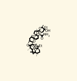 CCC(C(=O)[C@@H](C)[C@@H](O)C1(C)C[C@]12O[C@@H]([C@@H](CC)C(=O)O)CC[C@@H]2C)[C@H]1O[C@]2(C=CC(NC(N)=O)[C@]3(CC[C@@](C)([C@H]4CC[C@](O)(CC)[C@H](C)O4)O3)O2)[C@H](C)C[C@@H]1C